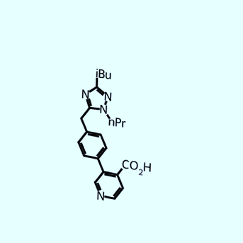 CCCn1nc(C(C)CC)nc1Cc1ccc(-c2cnccc2C(=O)O)cc1